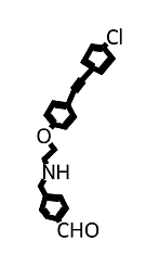 O=Cc1ccc(CNCCOc2ccc(C#Cc3ccc(Cl)cc3)cc2)cc1